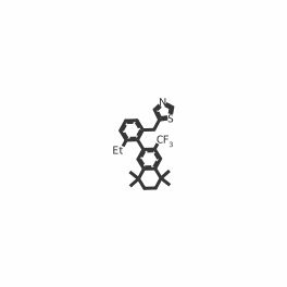 CCc1cccc(Cc2cncs2)c1-c1cc2c(cc1C(F)(F)F)C(C)(C)CCC2(C)C